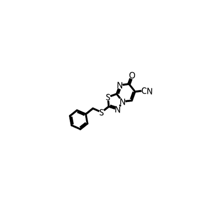 N#Cc1cn2nc(SCc3ccccc3)sc2nc1=O